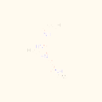 COCCNC(=O)COCCOCCNC(=O)CCC(NC(=O)C1CCC(CNC(=O)CCCC(=O)O)CC1)C(=O)O